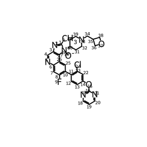 CC1=Nc2cnc3cc(F)c(-c4ccc(Oc5ncccn5)cc4Cl)cc3c2[N+]1([O-])C1CCN(CC2COC2)CC1